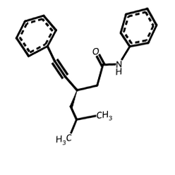 CC(C)C[C@@H](C#Cc1ccccc1)CC(=O)Nc1ccccc1